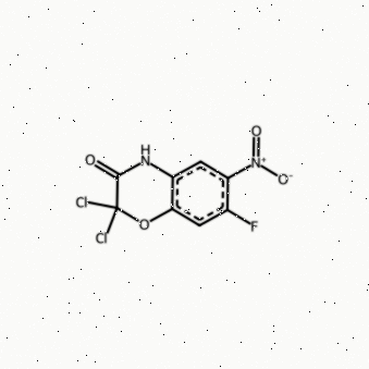 O=C1Nc2cc([N+](=O)[O-])c(F)cc2OC1(Cl)Cl